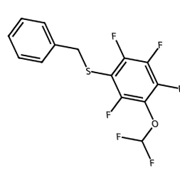 Fc1c(F)c(OC(F)F)c(F)c(SCc2ccccc2)c1F